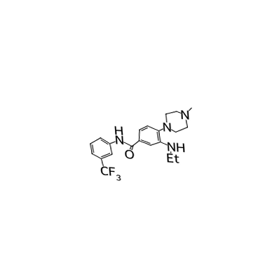 CCNc1cc(C(=O)Nc2cccc(C(F)(F)F)c2)ccc1N1CCN(C)CC1